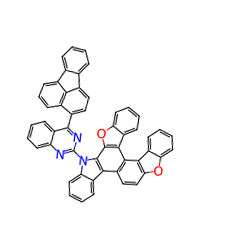 c1ccc2c(c1)-c1cccc3c(-c4nc(-n5c6ccccc6c6c7ccc8oc9ccccc9c8c7c7c8ccccc8oc7c65)nc5ccccc45)ccc-2c13